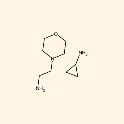 NC1CC1.NCCN1CCOCC1